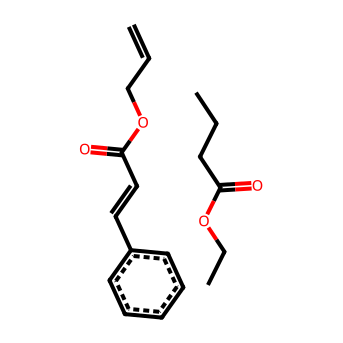 C=CCOC(=O)C=Cc1ccccc1.CCCC(=O)OCC